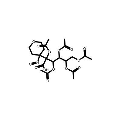 CC(=O)OCC(OC(C)=O)C(OC(C)=O)C(OC(C)=O)C(OC(C)=O)(C(=O)O)C1(N=O)CCOCC1